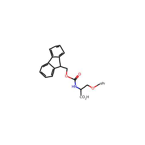 CCCOCC(NC(=O)OCC1c2ccccc2-c2ccccc21)C(=O)O